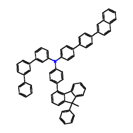 CC1(c2ccccc2)c2ccccc2-c2c(-c3ccc(N(c4ccc(-c5ccc(-c6ccc7ccccc7c6)cc5)cc4)c4cccc(-c5cccc(-c6ccccc6)c5)c4)cc3)cccc21